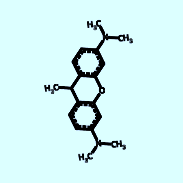 CC1c2ccc(N(C)C)cc2Oc2cc(N(C)C)ccc21